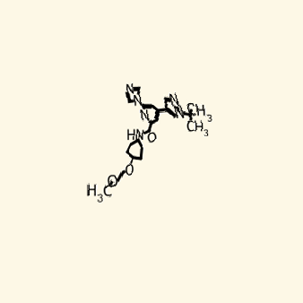 COCCO[C@H]1CC[C@H](NC(=O)c2cc(-c3cnn(C(C)C)c3)cc(-n3ccnc3)n2)CC1